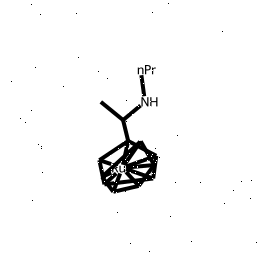 CCCNC(C)[C]12[CH]3[CH]4[CH]5[CH]1[Ru]45321678[CH]2[CH]1[CH]6[CH]7[CH]28